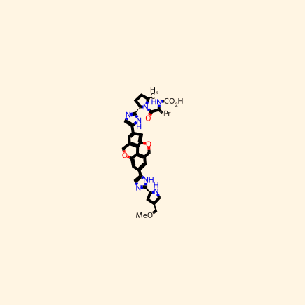 COC[C@@H]1CN[C@H](c2ncc(-c3cc4c5c(c3)OCc3cc(-c6cnc([C@@H]7CC[C@H](C)N7C(=O)C(NC(=O)O)C(C)C)[nH]6)cc(c3-5)OC4)[nH]2)C1